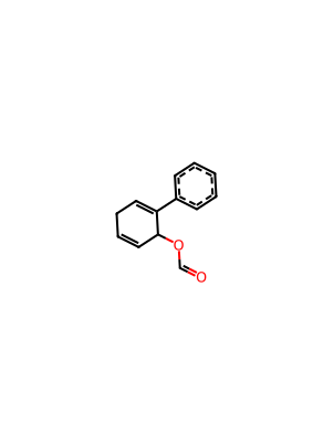 O=COC1C=CCC=C1c1ccccc1